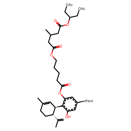 C=C(C)[C@@H]1CCC(C)=C[C@H]1c1c(O)cc(CCCCC)cc1OC(=O)CCCCOC(=O)CC(C)CC(=O)OC(COC(C)=O)COC(C)=O